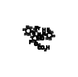 CC(C)CN(c1cc(F)c(OCC(=O)O)cc1NC(=O)Nc1ccccc1F)C1CCCCC1